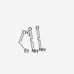 C=CCC.N=C=O.N=C=O